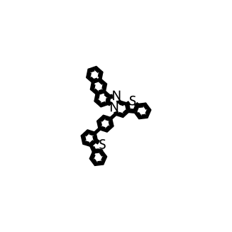 c1ccc2cc3c(ccc4c3nc3c5sc6ccccc6c5cc(-c5ccc(-c6cccc7c6sc6ccccc67)cc5)n43)cc2c1